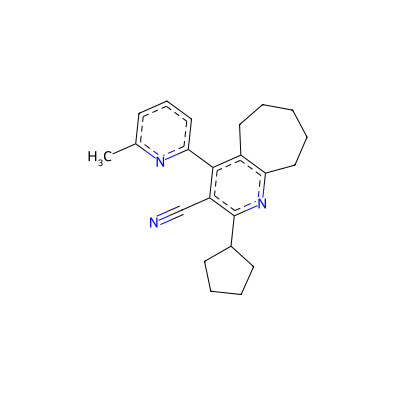 Cc1cccc(-c2c(C#N)c(C3CCCC3)nc3c2CCCCC3)n1